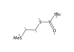 CSCCSC(=O)C(C)(C)C